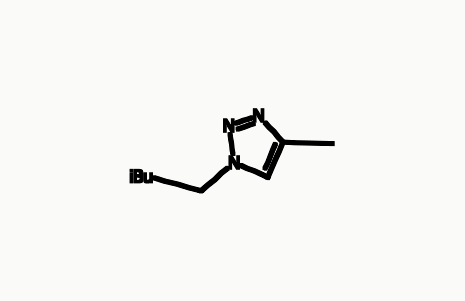 CCC(C)Cn1cc(C)nn1